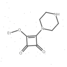 CCOc1c(N2CCNCC2)c(=O)c1=O